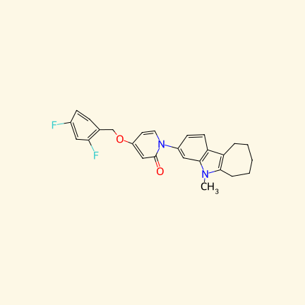 Cn1c2c(c3ccc(-n4ccc(OCc5ccc(F)cc5F)cc4=O)cc31)CCCCC2